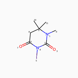 CN1C(=O)N(I)C(=O)CC1(C)C